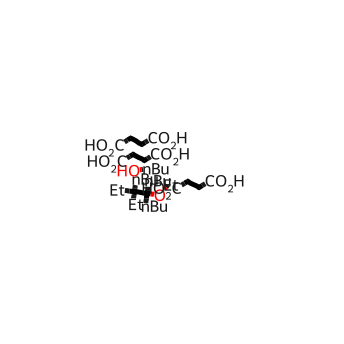 CCCCC(CC)(CC)C(CCCC)(CCCC)OCC.CCCCO.O=C(O)CCC(=O)O.O=C(O)CCC(=O)O.O=C(O)CCC(=O)O